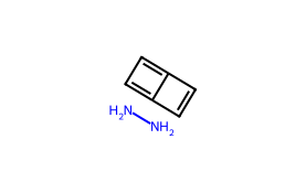 NN.c1cc2ccc1-2